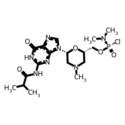 CC(C)C(=O)Nc1nc2c(ncn2[C@H]2CN(C)C[C@@H](CO[P@@](=O)(Cl)N(C)C)O2)c(=O)[nH]1